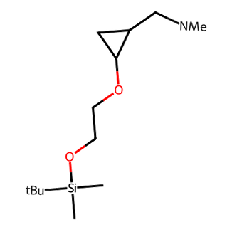 CNCC1CC1OCCO[Si](C)(C)C(C)(C)C